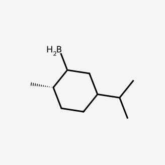 BC1CC(C(C)C)CC[C@@H]1C